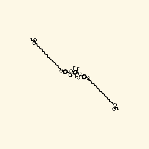 C=CC(=O)OCCCCCCCCCCCCCCCCCCCOc1ccc(C(=O)Oc2c(F)c(F)c(OC(=O)c3ccc(OCCCCCCCCCCCCCCCCCCCOC(=O)C=C)cc3)c(F)c2F)cc1